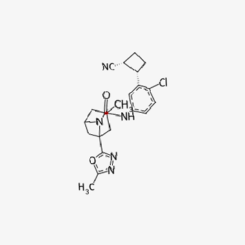 Cc1nnc(C23CC(C)CC(C2)N3C(=O)Nc2ccc(Cl)c([C@H]3CC[C@H]3C#N)c2)o1